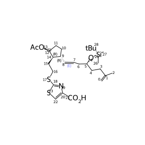 C=C(C)CCC(C/C=C/[C@H]1CC[C@H](OC(C)=O)[C@@H]1CCSc1nc(C(=O)O)cs1)O[Si](C)(C)C(C)(C)C